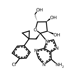 Nc1ncnc2c1ncn2[C@]1(CC2(c3ccc(Cl)cc3)CC2)O[C@H](CO)[C@@H](O)[C@H]1O